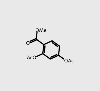 [CH2]OC(=O)c1ccc(OC(C)=O)cc1OC(C)=O